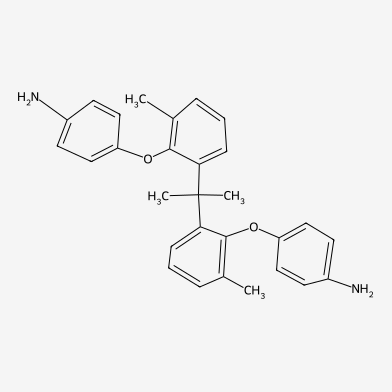 Cc1cccc(C(C)(C)c2cccc(C)c2Oc2ccc(N)cc2)c1Oc1ccc(N)cc1